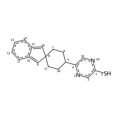 Sc1cnc(C2CCC3(C=c4ccccc4=C3)CC2)cn1